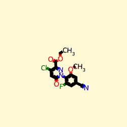 CCOC(=O)c1nn(-c2c(F)cc(C#N)cc2OC)c(=O)cc1Cl